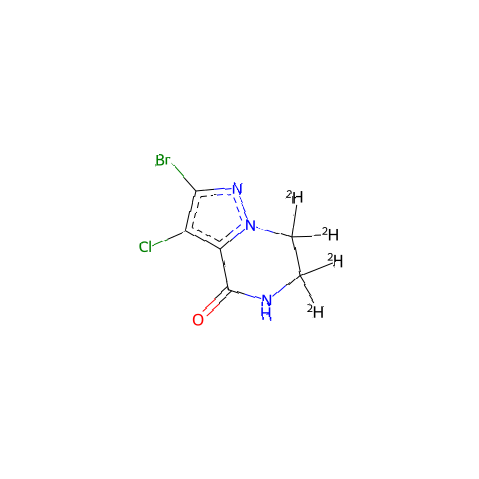 [2H]C1([2H])NC(=O)c2c(Cl)c(Br)nn2C1([2H])[2H]